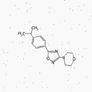 CC(C)c1ccc(-c2nc(N3CCOCC3)no2)cc1